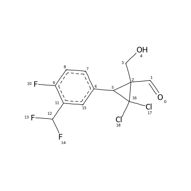 O=CC1(CO)C(c2ccc(F)c(C(F)F)c2)C1(Cl)Cl